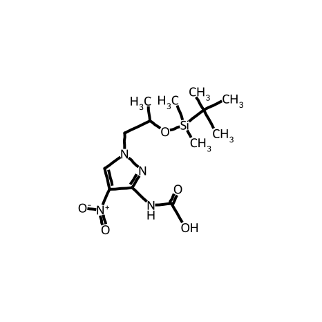 CC(Cn1cc([N+](=O)[O-])c(NC(=O)O)n1)O[Si](C)(C)C(C)(C)C